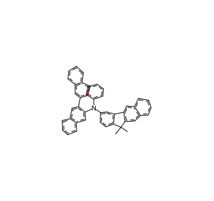 CC1(C)c2ccc(N(c3ccccc3)c3cc4ccccc4cc3-c3ccc4ccccc4c3)cc2-c2cc3ccccc3cc21